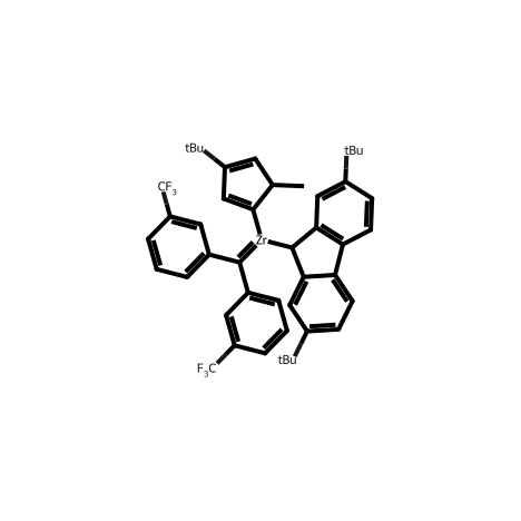 CC1C=C(C(C)(C)C)C=[C]1[Zr](=[C](c1cccc(C(F)(F)F)c1)c1cccc(C(F)(F)F)c1)[CH]1c2cc(C(C)(C)C)ccc2-c2ccc(C(C)(C)C)cc21